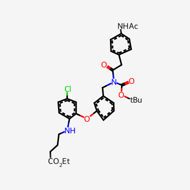 CCOC(=O)CCCNc1ccc(Cl)cc1Oc1cccc(CN(C(=O)Cc2ccc(NC(C)=O)cc2)C(=O)OC(C)(C)C)c1